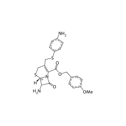 COc1ccc(COC(=O)C2=C(CSc3ccc(N)cc3)CS[C@H]3C(N)C(=O)N23)cc1